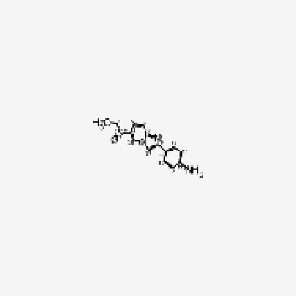 CC[S+]([O-])c1ccc2nc(-c3ccc(N)cc3)cn2c1